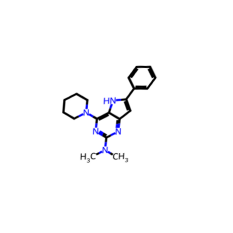 CN(C)c1nc(N2CCCCC2)c2[nH]c(-c3ccccc3)cc2n1